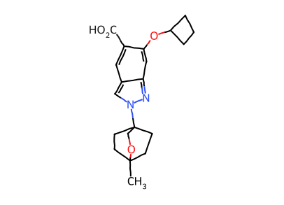 CC12CCC(n3cc4cc(C(=O)O)c(OC5CCC5)cc4n3)(CC1)CO2